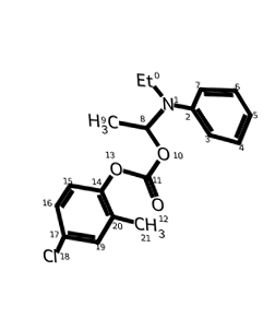 CCN(c1ccccc1)C(C)OC(=O)Oc1ccc(Cl)cc1C